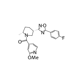 COc1cc(C(=O)N2C[C@@H](c3noc(-c4ccc(F)cc4)n3)CC[C@H]2C)ccn1